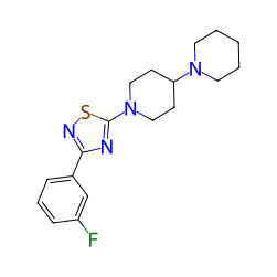 Fc1cccc(-c2nsc(N3CCC(N4CCCCC4)CC3)n2)c1